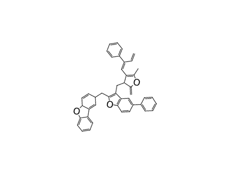 C=C/C(=C\C1=C(C)OC(=C)C1Cc1c(CC2C=CC3Oc4ccccc4C3=C2)oc2ccc(-c3ccccc3)cc12)c1ccccc1